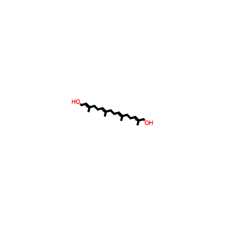 C/C(=C\CC/C(C)=C/CC/C(C)=C/CC/C(C)=C/CO)CO